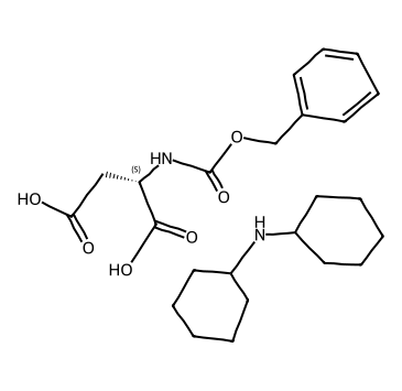 C1CCC(NC2CCCCC2)CC1.O=C(O)C[C@H](NC(=O)OCc1ccccc1)C(=O)O